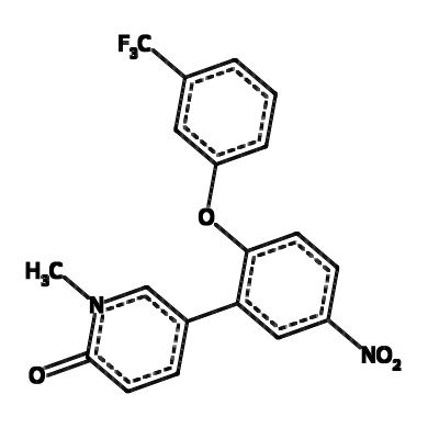 Cn1cc(-c2cc([N+](=O)[O-])ccc2Oc2cccc(C(F)(F)F)c2)ccc1=O